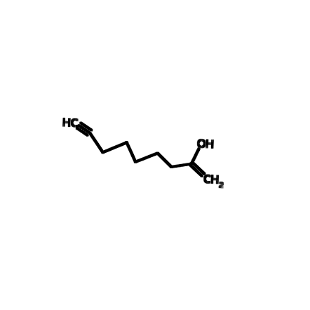 C#CCCCCCC(=C)O